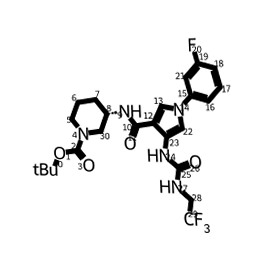 CC(C)(C)OC(=O)N1CCC[C@H](NC(=O)c2cn(-c3cccc(F)c3)cc2NC(=O)NCC(F)(F)F)C1